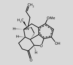 C=CC[N@+]1(C)CC[C@]23c4c5c(OC)cc(O)c4O[C@H]2C(=O)CC[C@H]3[C@H]1C5